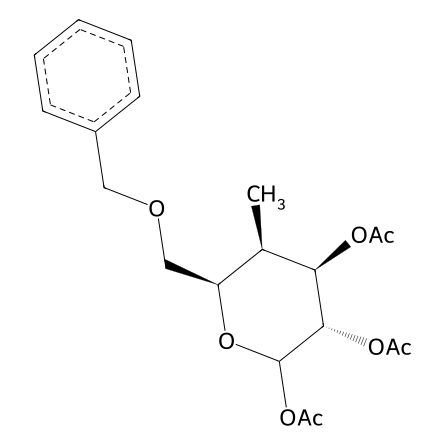 CC(=O)OC1O[C@@H](COCc2ccccc2)[C@@H](C)[C@@H](OC(C)=O)[C@@H]1OC(C)=O